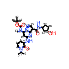 CC(C)n1cccc(Nc2cc(N(C)C(=O)OC(C)(C)C)n3ncc(C(=O)NC4CC[C@@H](O)C4)c3n2)c1=O